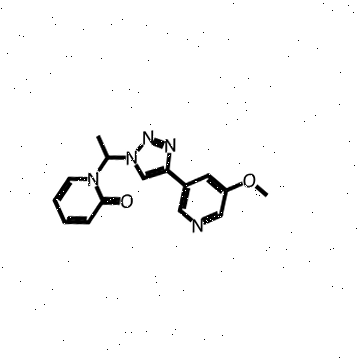 COc1cncc(-c2cn(C(C)n3ccccc3=O)nn2)c1